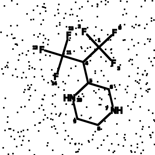 FC(F)(F)C(C1CNCCN1)C(F)(F)F